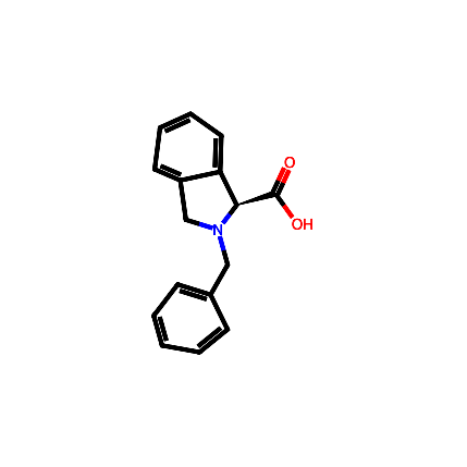 O=C(O)[C@@H]1c2ccccc2CN1Cc1ccccc1